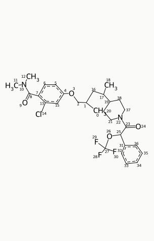 CC(COc1ccc(C(=O)N(C)C)c(Cl)c1)CC(C)C1CCN(C(=O)C(OC(F)(F)F)c2ccccc2)CC1